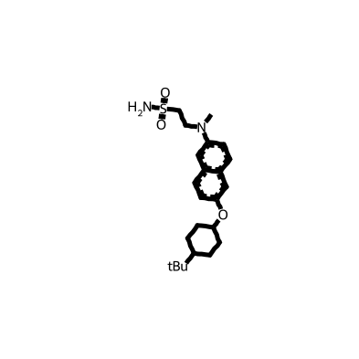 CN(CCS(N)(=O)=O)c1ccc2cc(OC3CCC(C(C)(C)C)CC3)ccc2c1